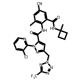 Cc1cc(C#N)cc(C(=O)NC2(C)CCC2)c1NC(=O)c1cc(Cn2nnc(C(F)(F)F)n2)nn1-c1ncccc1Cl